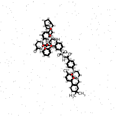 CC1(C)CCC(c2ccc(Cl)cc2)=C(CN2CCN(c3ccc(C(=O)NS(=O)(=O)c4ccc(N[C@H](CCN5CC6CCC(C5)N6Cc5ccc(N6CCC(=O)NC6=O)nc5)CSc5ccccc5)c(S(=O)(=O)C(F)(F)F)c4)cc3)CC2)C1